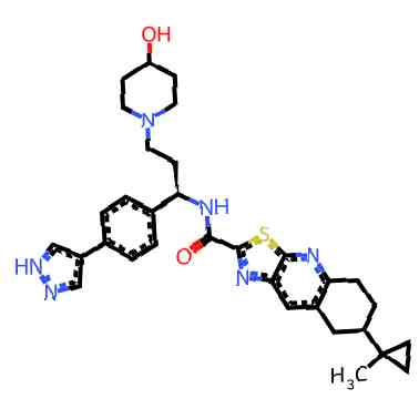 CC1(C2CCc3nc4sc(C(=O)N[C@H](CCN5CCC(O)CC5)c5ccc(-c6cn[nH]c6)cc5)nc4cc3C2)CC1